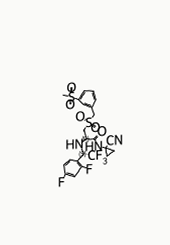 CS(=O)(=O)c1cccc(CS(=O)(=O)C[C@H](N[C@@H](c2ccc(F)cc2F)C(F)(F)F)C(=O)NC2(C#N)CC2)c1